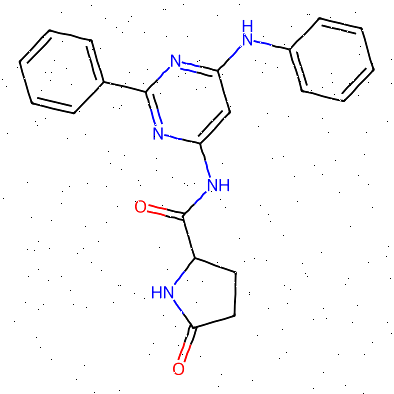 O=C1CCC(C(=O)Nc2cc(Nc3ccccc3)nc(-c3ccccc3)n2)N1